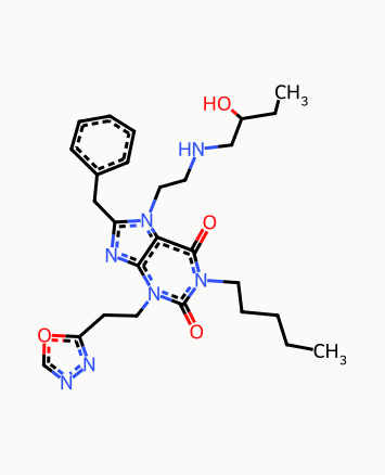 CCCCCn1c(=O)c2c(nc(Cc3ccccc3)n2CCNCC(O)CC)n(CCc2nnco2)c1=O